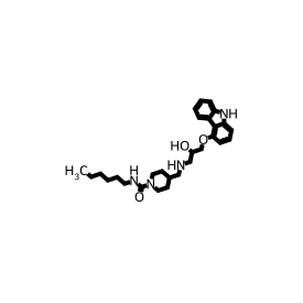 CCCCCCNC(=O)N1CCC(CNCC(O)COc2cccc3[nH]c4ccccc4c23)CC1